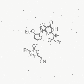 CCO[C@@H]1C[C@@H](COP(OCCC#N)N(C(C)C)C(C)C)O[C@H]1n1cnc2c(=O)[nH]c(NC(=O)C(C)C)nc21